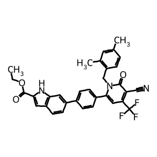 CCOC(=O)c1cc2ccc(-c3ccc(-c4cc(C(F)(F)F)c(C#N)c(=O)n4Cc4ccc(C)cc4C)cc3)cc2[nH]1